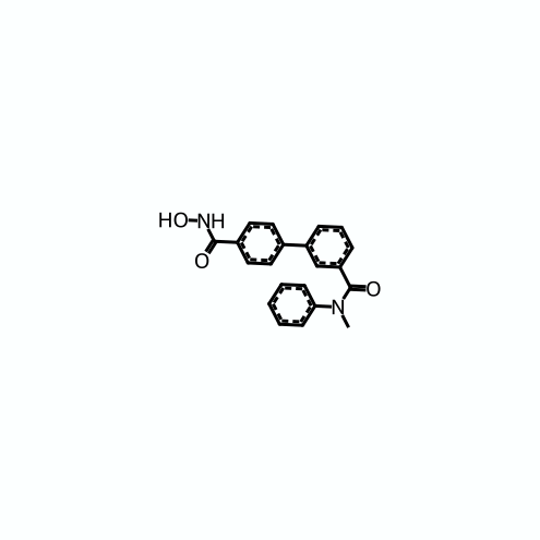 CN(C(=O)c1cccc(-c2ccc(C(=O)NO)cc2)c1)c1ccccc1